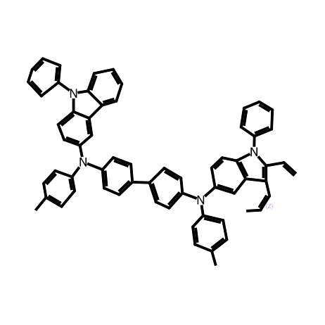 C=Cc1c(/C=C\C)c2cc(N(c3ccc(C)cc3)c3ccc(-c4ccc(N(c5ccc(C)cc5)c5ccc6c(c5)c5ccccc5n6-c5ccccc5)cc4)cc3)ccc2n1-c1ccccc1